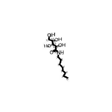 CCCCCCCCNC(=O)[C@H](O)[C@H](O)[C@H](O)CO